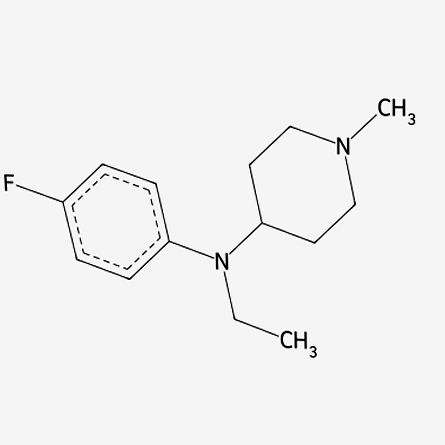 CCN(c1ccc(F)cc1)C1CCN(C)CC1